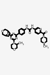 CC1COCCN1c1nc(-c2ccc(NC(=O)Nc3ccc(C(=O)N4CCN(C)CC4)nc3)cc2)nc(N2C3CCC2COC3)n1